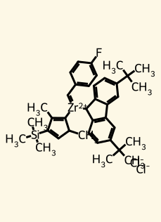 CC1=[C](/[Zr+2](=[CH]/c2ccc(F)cc2)[CH]2c3ccc(C(C)(C)C)cc3-c3cc(C(C)(C)C)ccc32)C(C)C=C1[Si](C)(C)C.[Cl-].[Cl-]